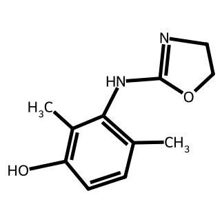 Cc1ccc(O)c(C)c1NC1=NCCO1